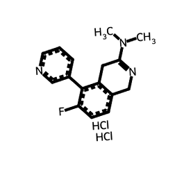 CN(C)C1=NCc2ccc(F)c(-c3cccnc3)c2C1.Cl.Cl